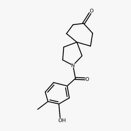 Cc1ccc(C(=O)N2CCC3(CCC(=O)CC3)C2)cc1O